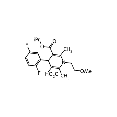 COCCN1C(C)=C(C(=O)O)C(c2cc(F)ccc2F)C(C(=O)OC(C)C)=C1C